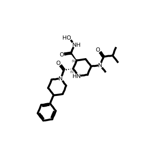 CC(C)C(=O)N(C)C1CN[C@H](C(=O)N2CCC(c3ccccc3)CC2)[C@@H](C(=O)NO)C1